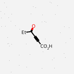 CCC(=O)C#CC(=O)O